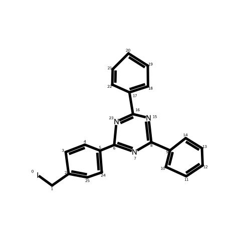 ICc1ccc(-c2nc(-c3ccccc3)nc(-c3ccccc3)n2)cc1